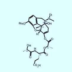 CCN(C)[C@@H]1Cc2ccc(OC)c3c2[C@@]2(C)[C@@H](O3)C(OC(=O)[C@H](C)OC(=O)[C@H](CCC(=O)O)NC(=O)[C@H](C)O)=CC[C@@]12O